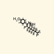 Cc1ccc(/C(=N/O)C(F)C(F)(F)C(F)(F)C(F)(F)C(F)(F)C(F)F)cc1